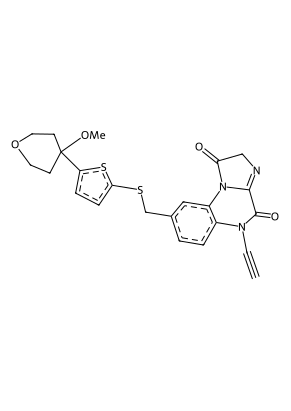 C#CN1C(=O)C2=NCC(=O)N2c2cc(CSc3ccc(C4(OC)CCOCC4)s3)ccc21